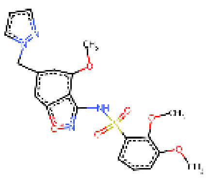 COc1cccc(S(=O)(=O)Nc2noc3cc(Cn4cccn4)cc(OC)c23)c1OC